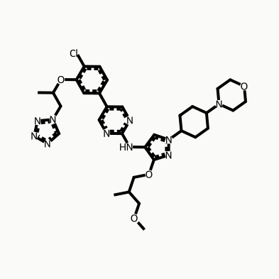 COCC(C)COc1nn(C2CCC(N3CCOCC3)CC2)cc1Nc1ncc(-c2ccc(Cl)c(OC(C)Cn3cnnn3)c2)cn1